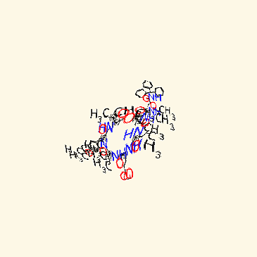 CC[C@H](C)[C@@H]1NC(=O)[C@H](Cc2ccc(OC(C)(C)C)cc2)N(C)C(=O)[C@H]([C@@H](C)CC)NC(=O)[C@H](CCC2OCCO2)NC(=O)[C@H](CC(C)C)NC(=O)[C@@H](NC(=O)[C@H](CCC(=O)NC(c2ccccc2)(c2ccccc2)c2ccccc2)NC(=O)C(C)C)[C@@H](C)OC1=O